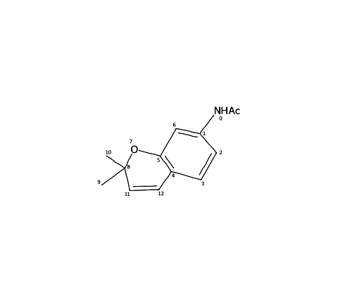 CC(=O)Nc1ccc2c(c1)OC(C)(C)C=C2